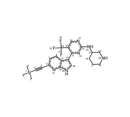 C[Si](C)(C)C#Cc1ccc2c(-c3nc(NC4CCCNC4)ncc3C(F)(F)F)c[nH]c2n1